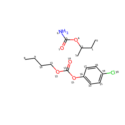 CCC(C)OC(N)=O.CCCCOC(=O)Oc1ccc(Cl)cc1